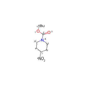 CC(C)(C)OC(=O)N1CCC([N+](=O)[O-])CC1